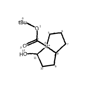 CC(C)(C)OC(=O)[N+]12CCCC1CCC2O